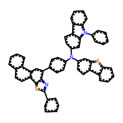 c1ccc(-c2nc3c(-c4ccc(N(c5ccc6c(c5)sc5ccccc56)c5ccc6c7ccccc7n(-c7ccccc7)c6c5)cc4)cc4c5ccccc5ccc4c3s2)cc1